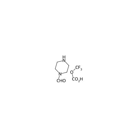 O=C(O)OC(F)(F)F.O=CN1CCNCC1